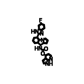 O=C(NC1c2cccc(-c3nc4ccc(F)cc4[nH]3)c2-n2cccc21)Oc1ccnc2[nH]ccc12